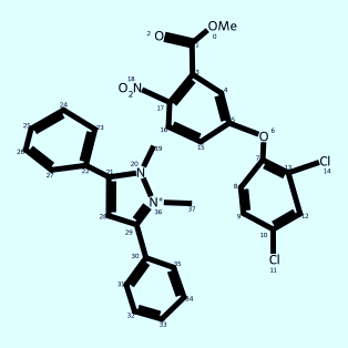 COC(=O)c1cc(Oc2ccc(Cl)cc2Cl)ccc1[N+](=O)[O-].Cn1c(-c2ccccc2)cc(-c2ccccc2)[n+]1C